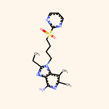 CCc1nc2c(N)nc(C)c(C)c2n1CCCCS(=O)(=O)c1ncccn1